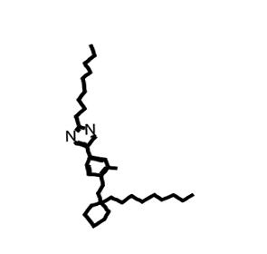 CCCCCCCCCc1ncc(-c2ccc(CCC3(CCCCCCCCC)CCCCC3)c(C)c2)cn1